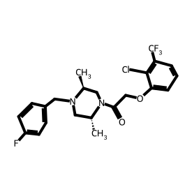 C[C@@H]1CN(Cc2ccc(F)cc2)[C@@H](C)CN1C(=O)COc1cccc(C(F)(F)F)c1Cl